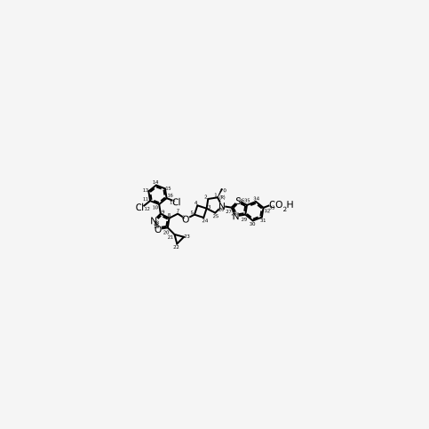 C[C@@H]1CC2(CC(OCc3c(-c4c(Cl)cccc4Cl)noc3C3CC3)C2)CN1c1nc2ccc(C(=O)O)cc2s1